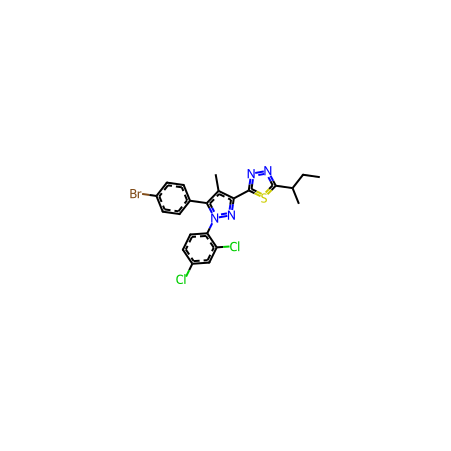 CCC(C)c1nnc(-c2nn(-c3ccc(Cl)cc3Cl)c(-c3ccc(Br)cc3)c2C)s1